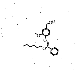 CCCCCCOC(=COc1ccc(CO)cc1OC)c1ccccc1